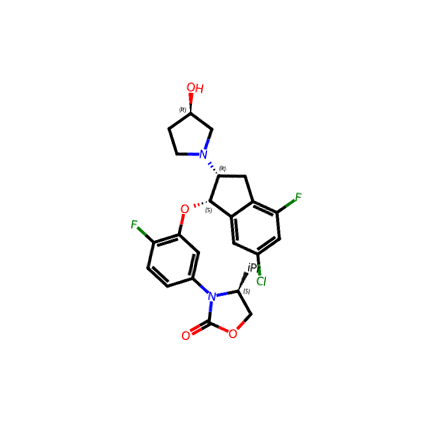 CC(C)[C@H]1COC(=O)N1c1ccc(F)c(O[C@H]2c3cc(Cl)cc(F)c3C[C@H]2N2CC[C@@H](O)C2)c1